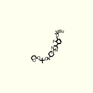 CC(C)(CON=C1CCN(c2ncc(-c3cccc(CO[Si](C)(C)C(C)(C)C)c3F)cn2)CC1)COC1CCCCO1